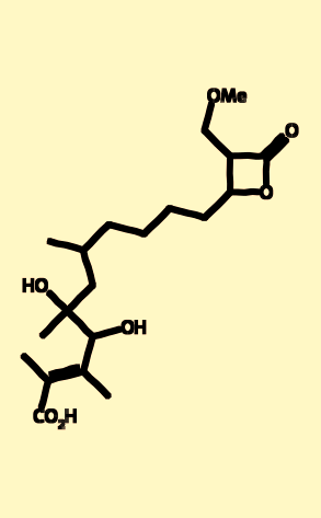 COCC1C(=O)OC1CCCCC(C)CC(C)(O)C(O)C(C)=C(C)C(=O)O